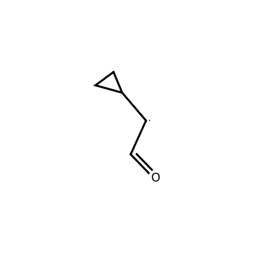 O=C[CH]C1CC1